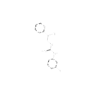 N=C(NCC(Cl)c1ccccc1)Nc1cccc(I)c1